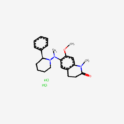 COc1cc2c(cc1N(C)N1CCCC[C@H]1c1ccccc1)CCC(=O)N2C.Cl.Cl